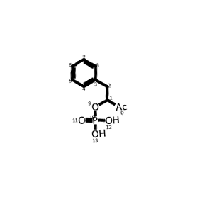 CC(=O)C(Cc1ccccc1)OP(=O)(O)O